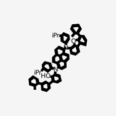 Cc1ccccc1-c1cccc(-c2cccc(N(c3cccc(C(C)C)c3)c3ccc4ccc5c(N(c6cccc(C(C)C)c6)c6cccc7c6oc6c(-c8ccccc8C)cccc67)ccc6ccc3c4c65)c2O)c1